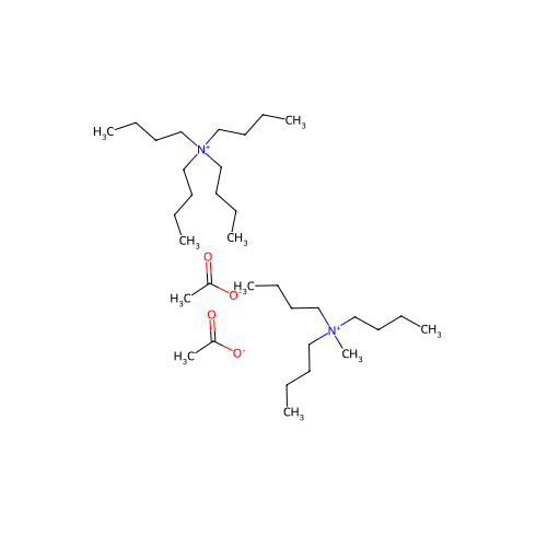 CC(=O)[O-].CC(=O)[O-].CCCC[N+](C)(CCCC)CCCC.CCCC[N+](CCCC)(CCCC)CCCC